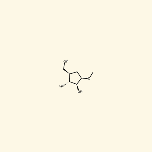 CO[C@@H]1C[C@H](CO)[C@@H](O)[C@@H]1O